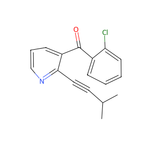 CC(C)C#Cc1ncccc1C(=O)c1ccccc1Cl